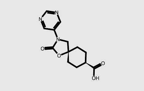 O=C1O[C@]2(CC[C@H](C(=O)O)CC2)CN1c1cncnc1